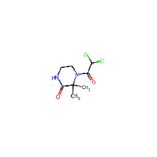 CC1(C)C(=O)NCCN1C(=O)C(Cl)Cl